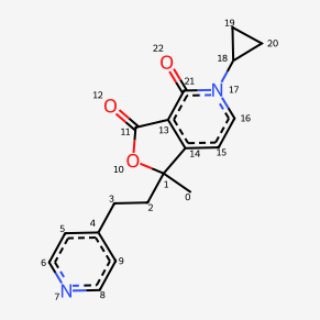 CC1(CCc2ccncc2)OC(=O)c2c1ccn(C1CC1)c2=O